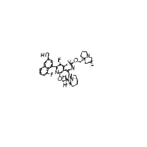 Oc1cc(-c2nc3c4c(nc(OC[C@@]56CCCN5C[C@H](F)C6)nc4c2F)N2CC4CC[C@H](N4)[C@@H]2CO3)c2c(F)cccc2c1